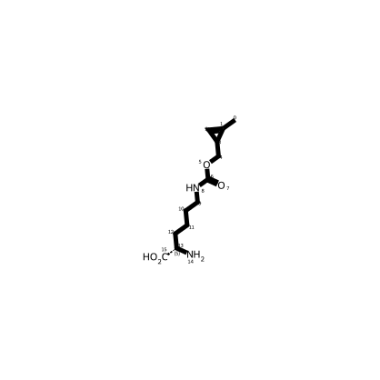 CC1=CC1COC(=O)NCCCC[C@H](N)C(=O)O